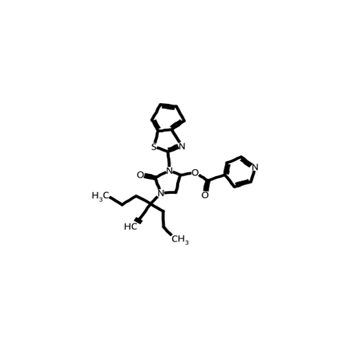 C#CC(CCC)(CCC)N1CC(OC(=O)c2ccncc2)N(c2nc3ccccc3s2)C1=O